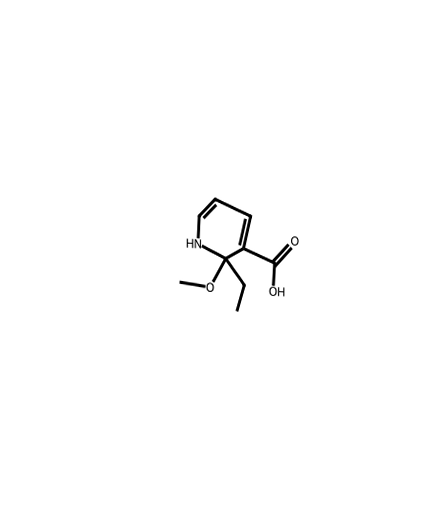 CCC1(OC)NC=CC=C1C(=O)O